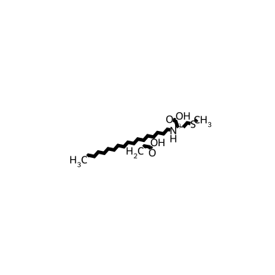 C=CC(=O)O.CCCCCCCCCCCCCCCCCCN[C@@H](CCSC)C(=O)O